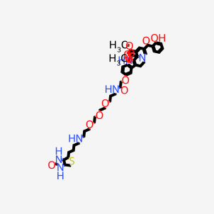 COC(=O)C1=CC(C(=O)c2ccccc2O)=CN2CCc3c([nH]c4ccc(OCC(=O)NCCCOCCOCCOCCCNCCCCC5SCC6NC(=O)NC65)cc34)C12C(=O)OC